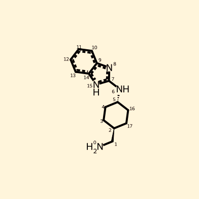 NC[C@H]1CC[C@H](Nc2nc3ccccc3[nH]2)CC1